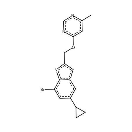 Cc1cc(OCc2cn3cc(C4CC4)cc(Br)c3n2)ncn1